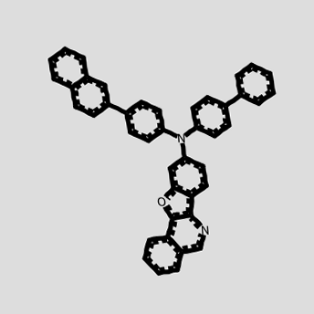 c1ccc(-c2ccc(N(c3ccc(-c4ccc5ccccc5c4)cc3)c3ccc4c(c3)oc3c5ccccc5cnc43)cc2)cc1